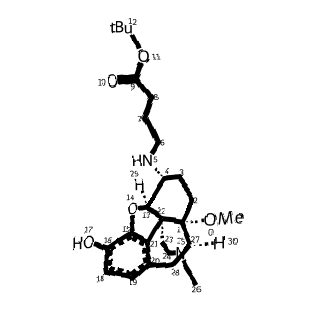 CO[C@@]12CC[C@@H](NCCCC(=O)OC(C)(C)C)[C@@H]3Oc4c(O)ccc5c4[C@@]31CCN(C)[C@@H]2C5